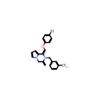 C=C1Cn2cccc2/C(=C\Oc2ccc(CC)cc2)N1Cc1cccc(C(F)(F)F)c1